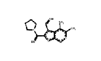 Cc1nnc2sc(C(=N)N3CCCC3)c(C=N)c2c1C